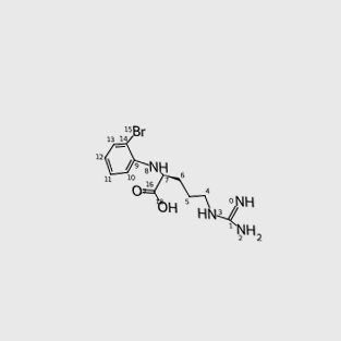 N=C(N)NCCC[C@H](Nc1ccccc1Br)C(=O)O